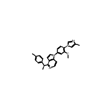 COc1cc(-n2ccc3c(C(C)c4ccc(C)cc4)nccc32)ccc1-n1cnc(C)c1